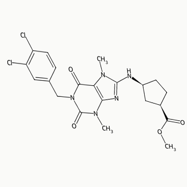 COC(=O)[C@@H]1CC[C@H](Nc2nc3c(c(=O)n(Cc4ccc(Cl)c(Cl)c4)c(=O)n3C)n2C)C1